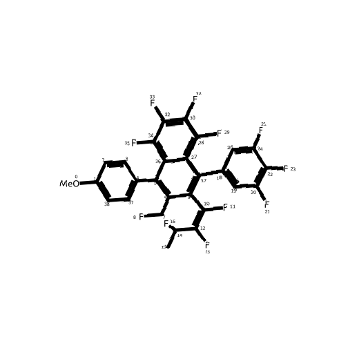 COc1ccc(-c2c(CF)c(/C(F)=C(/F)C(C)F)c(-c3cc(F)c(F)c(F)c3)c3c(F)c(F)c(F)c(F)c23)cc1